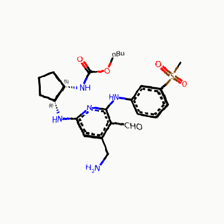 CCCCOC(=O)N[C@H]1CCC[C@H]1Nc1cc(CN)c(C=O)c(Nc2cccc(S(C)(=O)=O)c2)n1